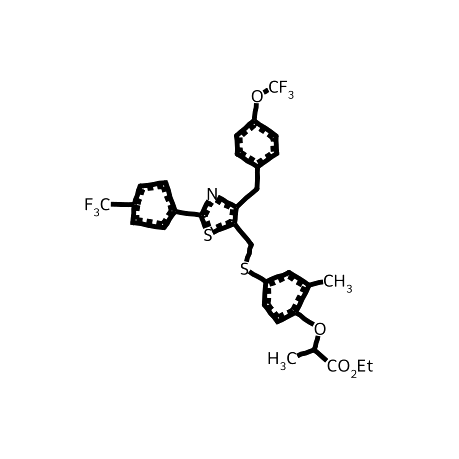 CCOC(=O)C(C)Oc1ccc(SCc2sc(-c3ccc(C(F)(F)F)cc3)nc2Cc2ccc(OC(F)(F)F)cc2)cc1C